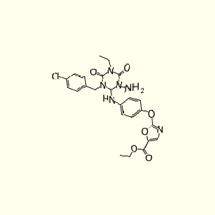 CCOC(=O)c1cnc(Oc2ccc(NC3N(N)C(=O)N(CC)C(=O)N3Cc3ccc(Cl)cc3)cc2)o1